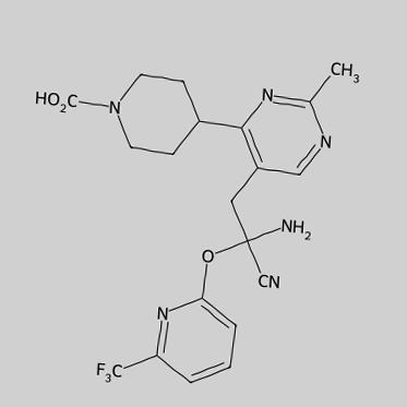 Cc1ncc(CC(N)(C#N)Oc2cccc(C(F)(F)F)n2)c(C2CCN(C(=O)O)CC2)n1